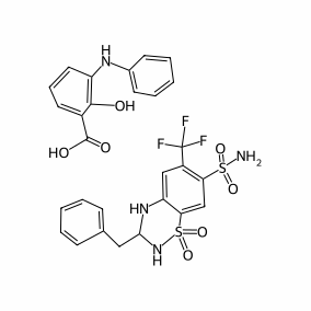 NS(=O)(=O)c1cc2c(cc1C(F)(F)F)NC(Cc1ccccc1)NS2(=O)=O.O=C(O)c1cccc(Nc2ccccc2)c1O